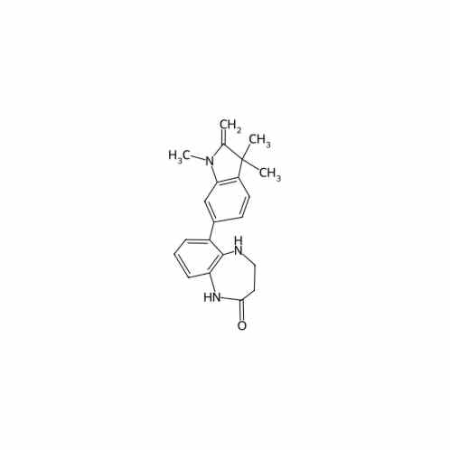 C=C1N(C)c2cc(-c3cccc4c3NCCC(=O)N4)ccc2C1(C)C